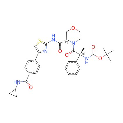 CC(C)(C)OC(=O)N[C@@](C)(C(=O)N1CCOC[C@H]1C(=O)Nc1nc(-c2ccc(C(=O)NC3CC3)cc2)cs1)c1ccccc1